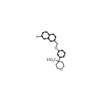 CCOC(=O)C1(c2cccc(OCc3ccc4ccc(F)cc4c3)c2)CCOCC1